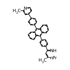 CCC/C(C)=C\C(=N)c1ccc(-c2c3ccccc3c(-c3ccc(-c4ccnc(C)c4)cc3)c3ccccc23)cc1